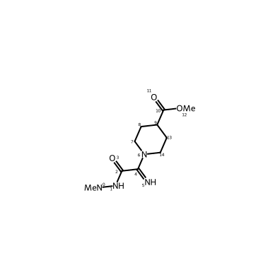 CNNC(=O)C(=N)N1CCC(C(=O)OC)CC1